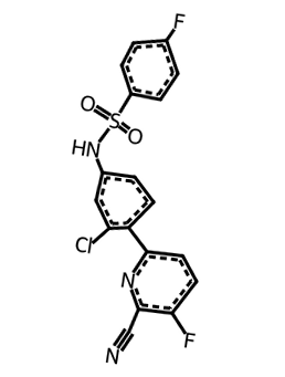 N#Cc1nc(-c2ccc(NS(=O)(=O)c3ccc(F)cc3)cc2Cl)ccc1F